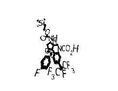 C[Si](C)(C)CCOC(=O)N[C@@H]1CC[C@@]2(S(=O)(=O)c3ccc(F)cc3)c3ccc(C(F)(C(F)(F)F)C(F)(F)F)cc3N(C(=O)O)C[C@@H]12